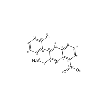 BCc1nc2c([N+](=O)[O-])cccc2nc1-c1ccccc1Cl